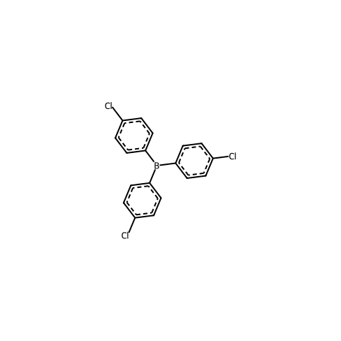 Clc1ccc(B(c2ccc(Cl)cc2)c2ccc(Cl)cc2)cc1